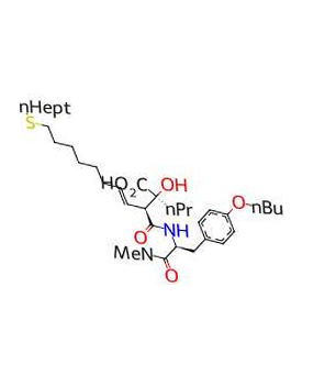 CCCCCCCSCCCCCC/C=C/[C@H](C(=O)N[C@@H](Cc1ccc(OCCCC)cc1)C(=O)NC)[C@@](O)(CCC)C(=O)O